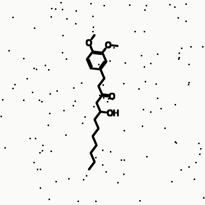 CCCCCCCC(O)CC(=O)CCc1ccc(OC)c(OC)c1